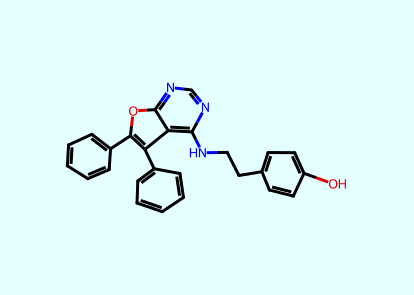 Oc1ccc(CCNc2ncnc3oc(-c4ccccc4)c(-c4ccccc4)c23)cc1